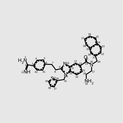 N=C(N)c1ccc(CCc2nc3cc(C(=O)N(CCN)Cc4ccc5ccccc5c4)ccc3n2Cc2cccs2)cc1